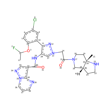 CC(F)Oc1ccc(Cl)cc1-c1nn(CC(=O)N2CC[C@]3(C)NCC[C@@H]3C2)cc1NC(=O)c1cnn2cccnc12